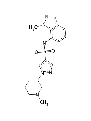 CN1CCCC(n2cc(S(=O)(=O)Nc3cccc4cnn(C)c34)cn2)C1